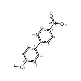 COc1ccc(-c2ccc([N+](=O)[O-])cn2)cn1